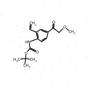 C=Cc1cc(C(=O)COC)ccc1NC(=O)OC(C)(C)C